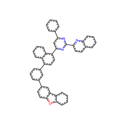 c1ccc(-c2cc(-c3ccc(-c4cccc(-c5ccc6oc7ccccc7c6c5)c4)c4ccccc34)nc(-c3ccc4ccccc4n3)n2)cc1